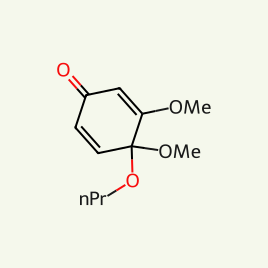 CCCOC1(OC)C=CC(=O)C=C1OC